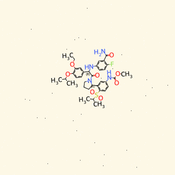 CCOc1cc([C@@H](Nc2ccc(F)c(C(N)=O)c2)C(=O)N2CCC[C@@H]2c2cc(NC(=O)OC)ccc2S(=O)(=O)C(C)C)ccc1OC(C)C